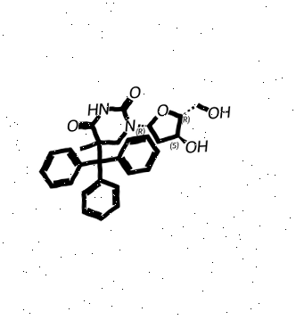 CC1(C(c2ccccc2)(c2ccccc2)c2ccccc2)CN([C@H]2C[C@H](O)[C@@H](CO)O2)C(=O)NC1=O